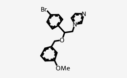 COc1cccc(COC(Cn2ccnc2)c2ccc(Br)cc2)c1